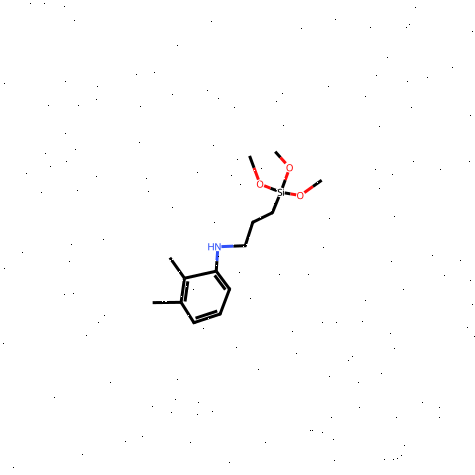 CO[Si](CCCNc1cccc(C)c1C)(OC)OC